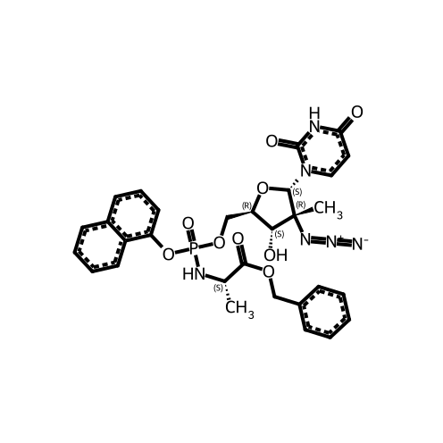 C[C@H](NP(=O)(OC[C@H]1O[C@H](n2ccc(=O)[nH]c2=O)[C@](C)(N=[N+]=[N-])[C@@H]1O)Oc1cccc2ccccc12)C(=O)OCc1ccccc1